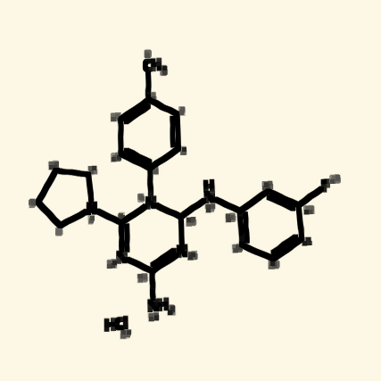 Cc1ccc(N2C(N3CCCC3)=NC(N)=NC2Nc2cccc(F)c2)cc1.Cl